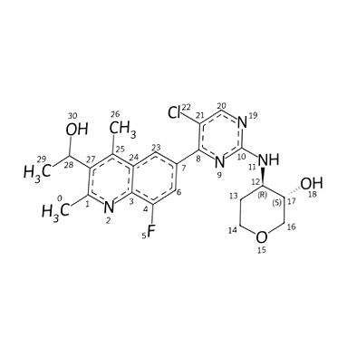 Cc1nc2c(F)cc(-c3nc(N[C@@H]4CCOC[C@H]4O)ncc3Cl)cc2c(C)c1C(C)O